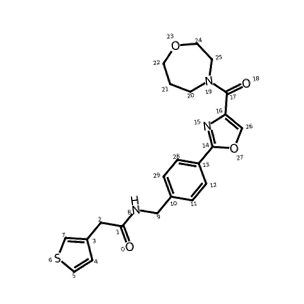 O=C(Cc1ccsc1)NCc1ccc(-c2nc(C(=O)N3CCCOCC3)co2)cc1